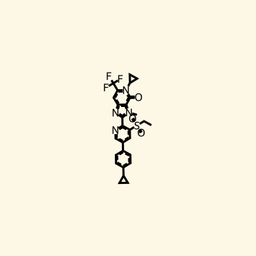 CCS(=O)(=O)c1cc(-c2ccc(C3CC3)cc2)cnc1-c1nc2cc(C(F)(F)F)n(C3CC3)c(=O)c2n1C